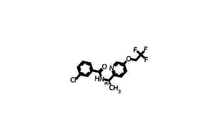 C[C@@H](NC(=O)c1cccc(Cl)c1)c1ccc(OCC(F)(F)F)cn1